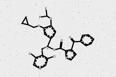 O=C(c1ccccc1)c1ccsc1C(=O)O[C@@H](Cc1c(Cl)cncc1Cl)c1ccc(OC(F)F)c(OCC2CC2)c1